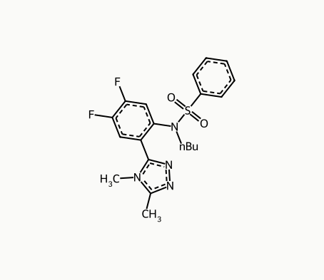 CCCCN(c1cc(F)c(F)cc1-c1nnc(C)n1C)S(=O)(=O)c1ccccc1